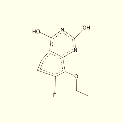 CCOc1c(F)ccc2c(O)nc(O)nc12